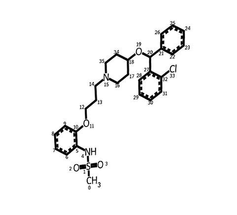 CS(=O)(=O)Nc1ccccc1OCCCN1CCC(OC(c2ccccc2)c2ccccc2Cl)CC1